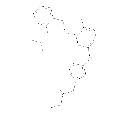 CNC(=O)Cn1cc(Nc2ncc(Cl)c(NCc3ccccc3SN(C)C)n2)cn1